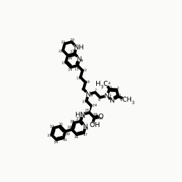 Cc1cc(C)n(CCN(CCCCc2ccc3c(n2)NCCC3)CC[C@H](Nc2cc(-c3ccccc3)ccn2)C(=O)O)n1